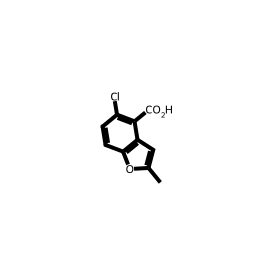 Cc1cc2c(C(=O)O)c(Cl)ccc2o1